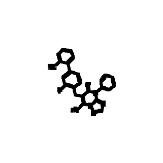 CCCc1c(Cc2ccc(-c3ccccc3C#N)cc2F)c(=O)n(-c2ccccc2)c2ncnn12